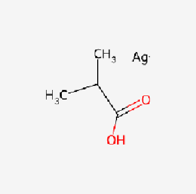 CC(C)C(=O)O.[Ag]